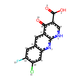 O=C(O)c1c[nH]c2nc3cc(Cl)c(F)cc3cc2c1=O